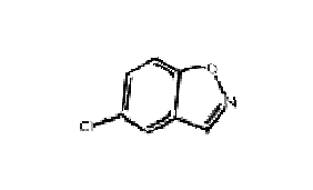 Clc1ccc2on[c]c2c1